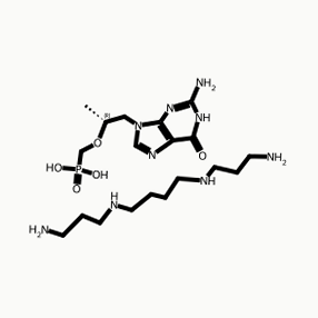 C[C@H](Cn1cnc2c(=O)[nH]c(N)nc21)OCP(=O)(O)O.NCCCNCCCCNCCCN